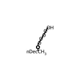 CCCCCCCCCCC(C)c1ccc(COCCOCCOCCOCCO)cc1